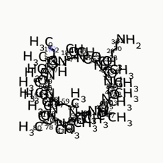 C/C=C/C[C@@H](C)[C@@H](O)[C@@H]1C(=O)N[C@@H](CC)C(=O)N(C)CC(=O)N(C)[C@@H]([C@@H](C)OCCCCN)C(=O)N[C@@H](C(C)C)C(=O)N(C)[C@@H](CC(C)C)C(=O)N[C@@H](C)C(=O)N2C(C)C[C@@H](C(=O)N(C)[C@@H](C(C)C)C(=O)N1C)N(C)C(=O)[C@H](CC(C)C)N(C)C(=O)[C@H]2C